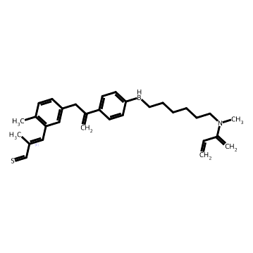 C=CC(=C)N(C)CCCCCCBc1ccc(C(=C)Cc2ccc(C)c(/C=C(\C)C=S)c2)cc1